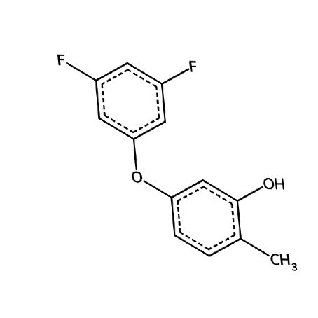 Cc1ccc(Oc2cc(F)cc(F)c2)cc1O